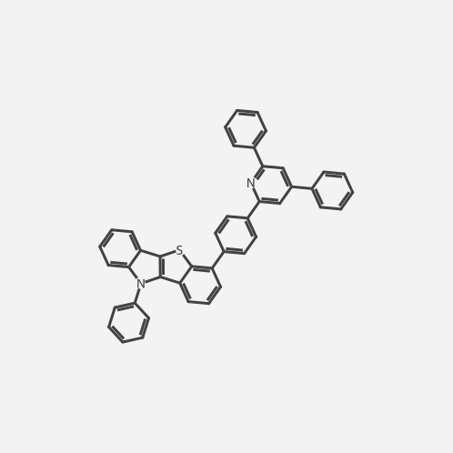 c1ccc(-c2cc(-c3ccccc3)nc(-c3ccc(-c4cccc5c4sc4c6ccccc6n(-c6ccccc6)c54)cc3)c2)cc1